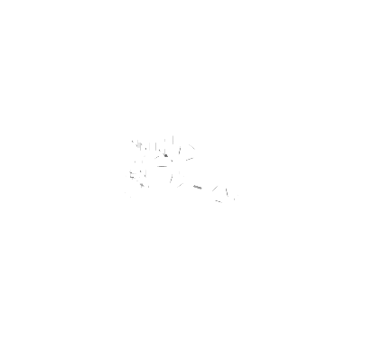 Cc1ccc(C#Cc2ccc(-c3c(CNS(=O)(=O)C4CC4)c(C(=O)NN4CCCCC4)nn3-c3ccc(Cl)cc3Cl)s2)cc1